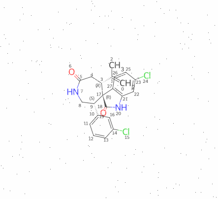 C=C(C)[C@H]1CC(=O)NC[C@@H](c2cccc(Cl)c2)[C@]12C(=O)Nc1cc(Cl)ccc12